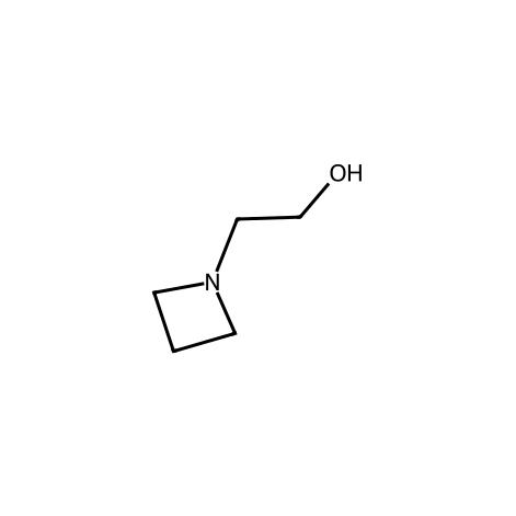 OCCN1CCC1